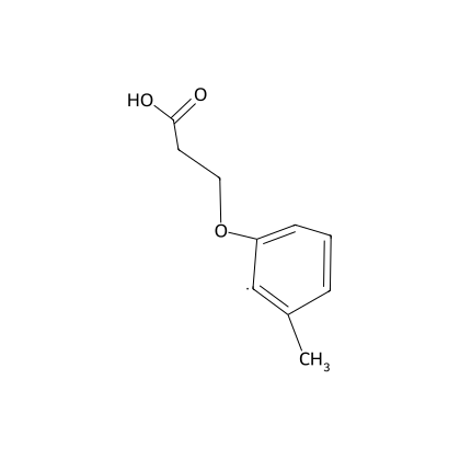 Cc1[c]c(OCCC(=O)O)ccc1